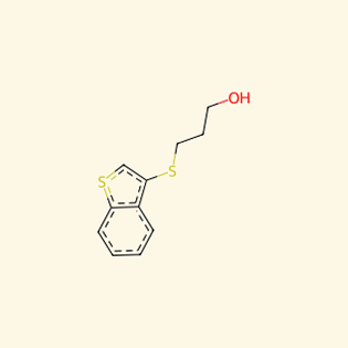 OCCCSc1csc2ccccc12